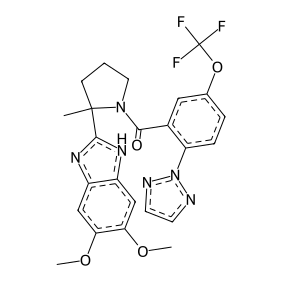 COc1cc2nc(C3(C)CCCN3C(=O)c3cc(OC(F)(F)F)ccc3-n3nccn3)[nH]c2cc1OC